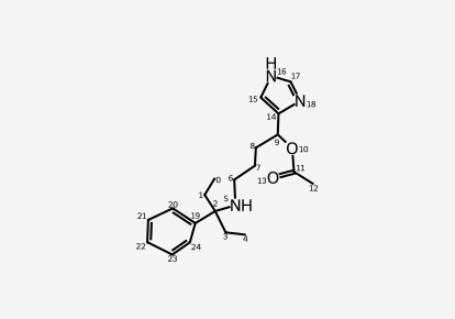 CCC(CC)(NCCCC(OC(C)=O)c1c[nH]cn1)c1ccccc1